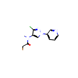 CCN(C(=O)CS)c1cn(-c2cccnc2)nc1Cl